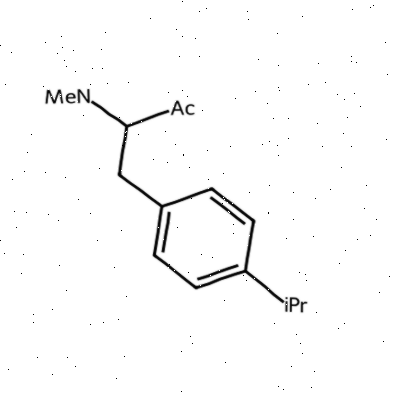 CNC(Cc1ccc(C(C)C)cc1)C(C)=O